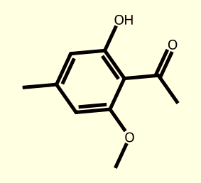 COc1cc(C)cc(O)c1C(C)=O